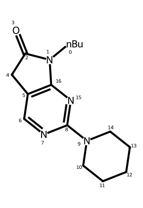 CCCCN1C(=O)Cc2cnc(N3CCCCC3)nc21